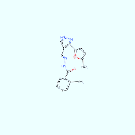 Cc1ccccc1C(=O)NN=Cc1c[nH]nc1-c1ccc([N+](=O)[O-])o1